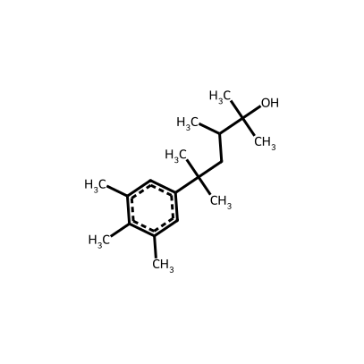 Cc1cc(C(C)(C)CC(C)C(C)(C)O)cc(C)c1C